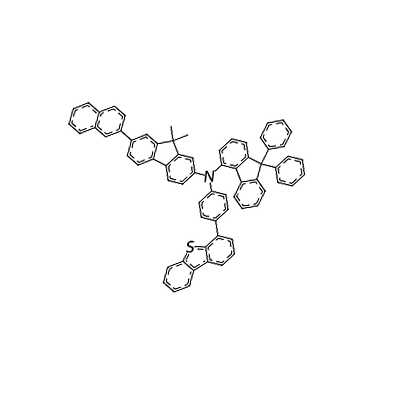 CC1(C)c2cc(-c3ccc4ccccc4c3)ccc2-c2ccc(N(c3ccc(-c4cccc5c4sc4ccccc45)cc3)c3cccc4c3-c3ccccc3C4(c3ccccc3)c3ccccc3)cc21